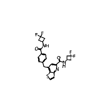 O=C(NC1CC(F)(F)C1)c1ccc(Cc2cc(C(=O)NC3CC(F)(F)C3)nc3ccsc23)cc1